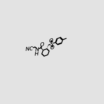 Cc1ccc(S(=O)(=O)C[C@@H]2CCCC[C@H]2C(=O)NCC#N)cc1